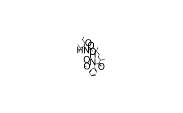 CCC(=O)C(NC(=O)OC(C)CCC(C)C(=O)C(NC(=O)OC)c1ccccc1)C(C)C